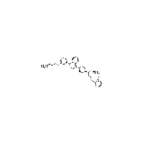 NCCCCC1=CCCC(C2CCC(C3C=CC(/C(=C/C=C/C4=CC=CCN4)CN)CC3)=C3C=CC=CC32)=C1